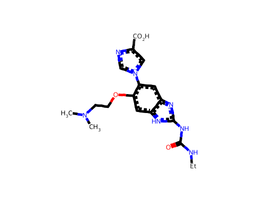 CCNC(=O)Nc1nc2cc(-n3cnc(C(=O)O)c3)c(OCCN(C)C)cc2[nH]1